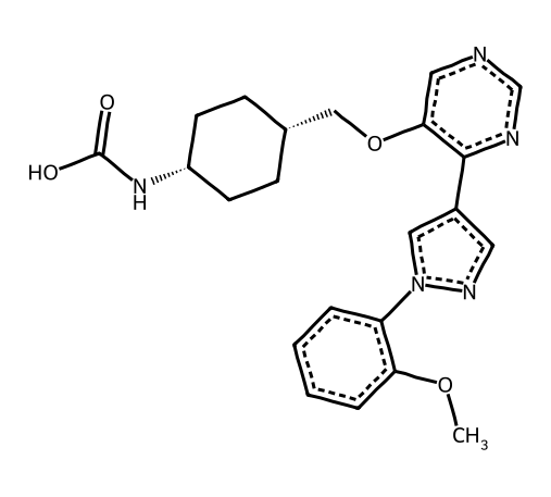 COc1ccccc1-n1cc(-c2ncncc2OC[C@H]2CC[C@@H](NC(=O)O)CC2)cn1